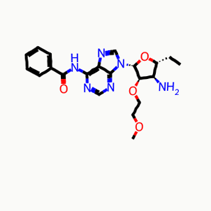 CC[C@H]1O[C@@H](n2cnc3c(NC(=O)c4ccccc4)ncnc32)[C@H](OCCOC)[C@@H]1N